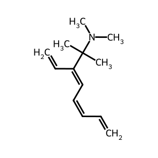 C=C/C=C\C=C(/C=C)C(C)(C)N(C)C